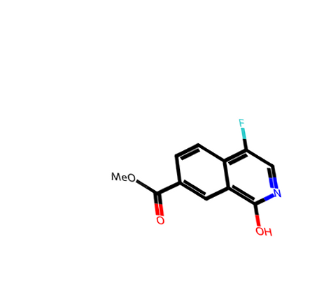 COC(=O)c1ccc2c(F)cnc(O)c2c1